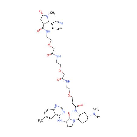 CC(C)N(C)[C@@H]1CC[C@H](N2CC[C@H](Nc3ncnc4ccc(C(F)(F)F)cc34)C2=O)[C@H](NC(=O)CCOCCNC(=O)COCCNC(=O)COCCNC(=O)[C@H]2CC(=O)N(C)[C@@H]2c2cccnc2)C1